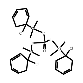 C[Si](C)(OP(=O)(O[Si](C)(C)C1(Cl)C=CC=CC1)O[Si](C)(C)C1(Cl)C=CC=CC1)C1(Cl)C=CC=CC1